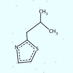 CC(C)Cc1n[c]cs1